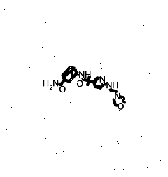 CC(C)(C(=O)NC1C2CC3CC1CC(C(N)=O)(C3)C2)c1ccc(NCCN2CCOCC2)nc1